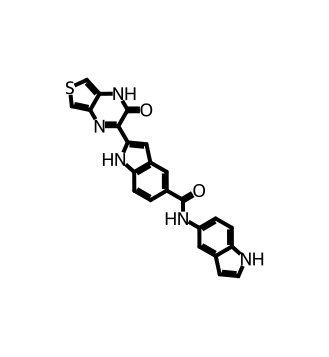 O=C(Nc1ccc2[nH]ccc2c1)c1ccc2[nH]c(-c3nc4cscc4[nH]c3=O)cc2c1